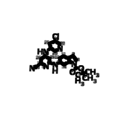 CC(C)(C)OC(=O)n1ccc2ccc(Nc3cc(Nc4cncc(Cl)c4)cc(C#N)n3)cc21